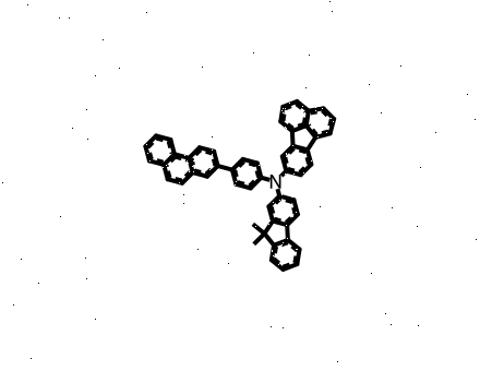 CC1(C)c2ccccc2-c2ccc(N(c3ccc(-c4ccc5c(ccc6ccccc65)c4)cc3)c3ccc4c(c3)-c3cccc5cccc-4c35)cc21